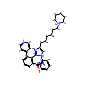 NC(=O)c1cccc(-c2ccncc2)c1-c1nc(CCCCCCN2CCCCC2)cn1-c1ccccc1